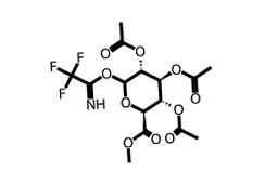 COC(=O)[C@H]1OC(OC(=N)C(F)(F)F)[C@H](OC(C)=O)[C@@H](OC(C)=O)[C@@H]1OC(C)=O